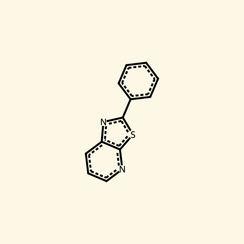 c1ccc(-c2nc3cccnc3s2)cc1